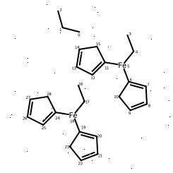 CCC.C[CH2][Fe]([C]1=CC=CC1)[C]1=CC=CC1.C[CH2][Fe]([C]1=CC=CC1)[C]1=CC=CC1